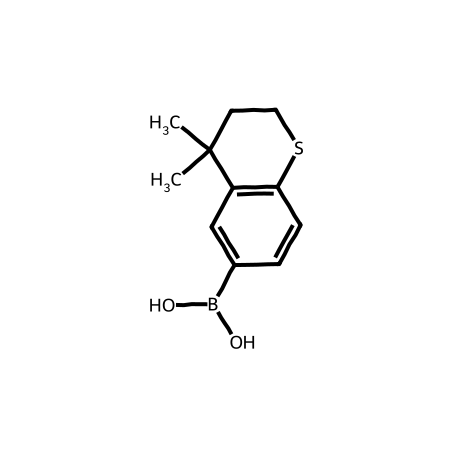 CC1(C)CCSc2ccc(B(O)O)cc21